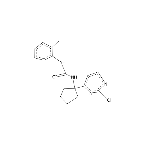 Cc1ccccc1NC(=O)NC1(c2ccnc(Cl)n2)CCCC1